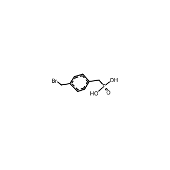 O=P(O)(O)Cc1ccc(CBr)cc1